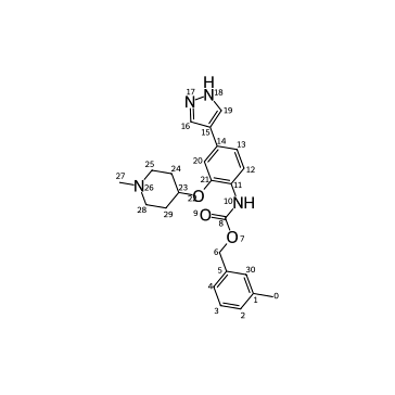 Cc1cccc(COC(=O)Nc2ccc(-c3cn[nH]c3)cc2OC2CCN(C)CC2)c1